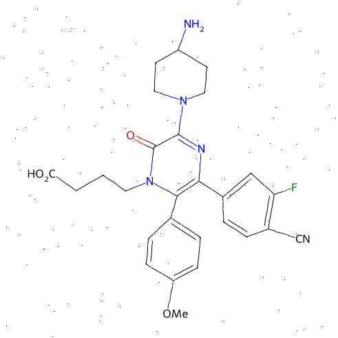 COc1ccc(-c2c(-c3ccc(C#N)c(F)c3)nc(N3CCC(N)CC3)c(=O)n2CCCC(=O)O)cc1